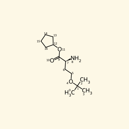 CC(C)(C)OCC[C@H](N)C(=O)OC1CCCC1